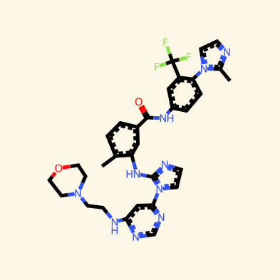 Cc1ccc(C(=O)Nc2ccc(-n3ccnc3C)c(C(F)(F)F)c2)cc1Nc1nccn1-c1cc(NCCN2CCOCC2)ncn1